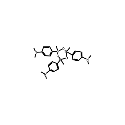 CN(C)c1ccc([Si]2(C)O[Si](C)(c3ccc(N(C)C)cc3)O[Si](C)(c3ccc(N(C)C)cc3)O2)cc1